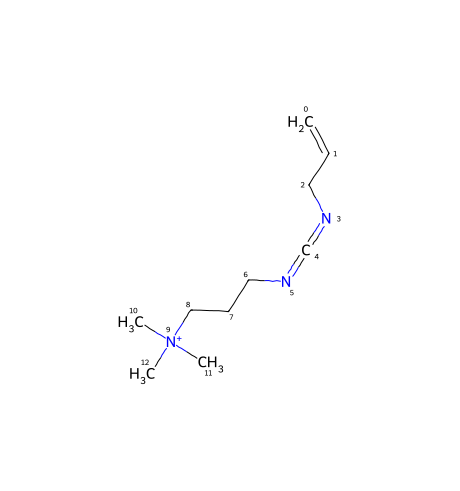 C=CCN=C=NCCC[N+](C)(C)C